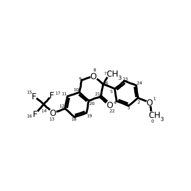 COc1ccc(C2(C)OCc3cc(OC(F)(F)F)ccc3C2=O)cc1